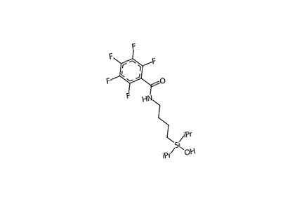 CC(C)[Si](O)(CCCCNC(=O)c1c(F)c(F)c(F)c(F)c1F)C(C)C